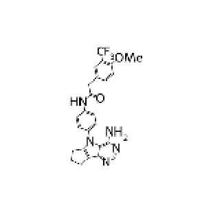 COc1ccc(CC(=O)Nc2ccc(-n3c4c(c5ncnc(N)c53)CCC4)cc2)cc1C(F)(F)F